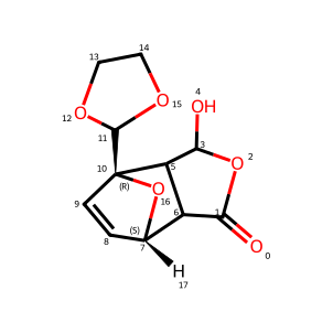 O=C1OC(O)C2C1[C@@H]1C=C[C@@]2(C2OCCO2)O1